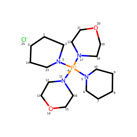 C1CCN([P+](N2CCCCC2)(N2CCOCC2)N2CCOCC2)CC1.[Cl-]